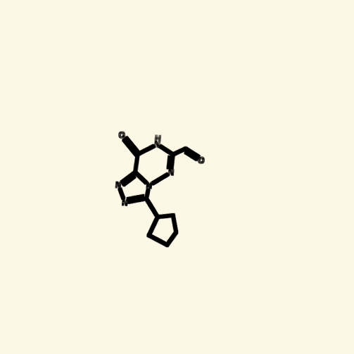 O=Cc1nn2c(C3CCCC3)nnc2c(=O)[nH]1